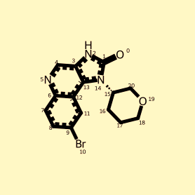 O=c1[nH]c2cnc3ccc(Br)cc3c2n1[C@H]1CCCOC1